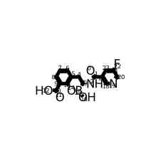 O=C(N[C@H]1Cc2cccc(C(=O)O)c2OB1O)c1cncc(F)c1